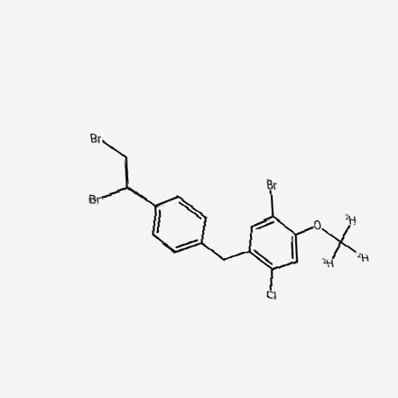 [2H]C([2H])([2H])Oc1cc(Cl)c(Cc2ccc(C(Br)CBr)cc2)cc1Br